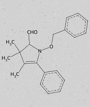 CC1=C(c2ccccc2)N(OCc2ccccc2)C(C=O)C1(C)C